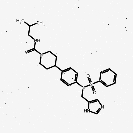 CC(C)CNC(=S)N1CCC(c2ccc(N(Cc3cnc[nH]3)S(=O)(=O)c3ccccc3)cc2)CC1